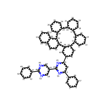 c1ccc(-c2cc(-c3ccc4c5ccccc5c5ccccc5c5ccccc5c5c6ccccc6ccc5c4c3)nc(-c3cnc(-c4ccccc4)nc3)n2)cc1